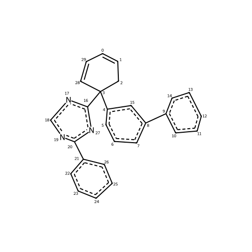 C1=CCC(c2cccc(-c3ccccc3)c2)(c2ncnc(-c3ccccc3)n2)C=C1